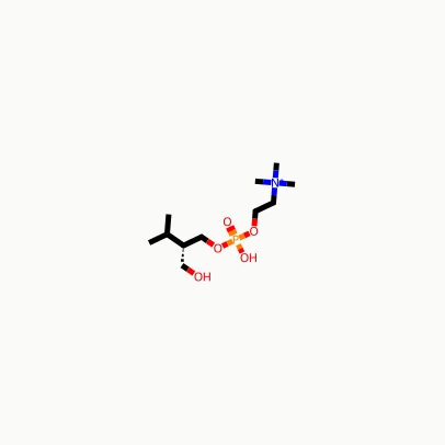 CC(C)[C@@H](CO)COP(=O)(O)OCC[N+](C)(C)C